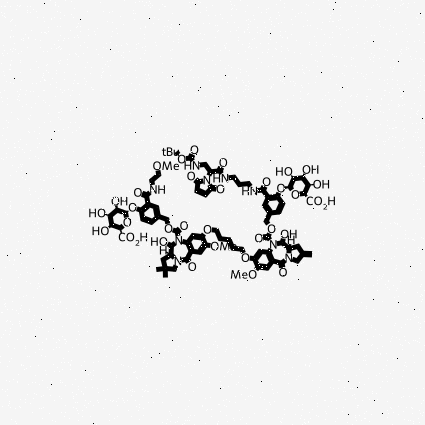 C=C1C[C@H]2C(O)N(C(=O)OCc3ccc(O[C@@H]4O[C@H](C(=O)O)[C@@H](O)[C@H](O)[C@H]4O)c(C(=O)NCCCNC(=O)C(CNC(=O)OC(C)(C)C)N4C(=O)C=CC4=O)c3)c3cc(OCCCCCOc4cc5c(cc4OC)C(=O)N4CC(C)(C)C[C@H]4C(O)N5C(=O)OCc4ccc(O[C@@H]5O[C@H](C(=O)O)[C@@H](O)[C@H](O)[C@H]5O)c(C(=O)NCCOC)c4)c(OC)cc3C(=O)N2C1